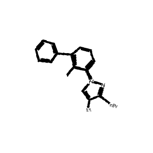 CCCc1nn(-c2cccc(-c3ccccc3)c2C)cc1CC